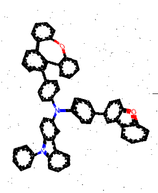 c1ccc(-n2c3ccccc3c3cc(N(c4ccc(-c5ccc6oc7ccccc7c6c5)cc4)c4ccc(-c5cccc6c5-c5ccccc5Oc5ccccc5-6)cc4)ccc32)cc1